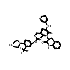 O=C1Nc2ccccc2CC1n1c(=O)c(Nc2cccnc2)cc2cnc(Nc3ccc(N4CCNCC4)c(C(F)(F)F)c3)nc21